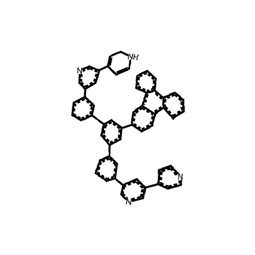 C1=CC(c2cncc(-c3cccc(-c4cc(-c5cccc(-c6cncc(-c7ccncc7)c6)c5)cc(-c5ccc6c7ccccc7c7ccccc7c6c5)c4)c3)c2)=CCN1